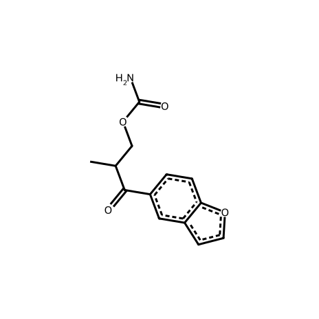 CC(COC(N)=O)C(=O)c1ccc2occc2c1